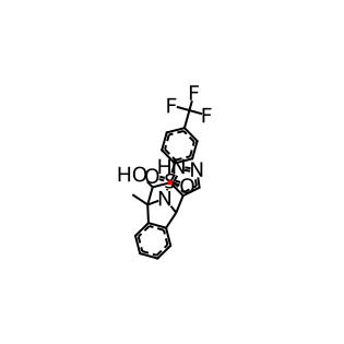 CC12c3ccccc3C(c3cn[nH]c3C1O)N2S(=O)(=O)c1ccc(C(F)(F)F)cc1